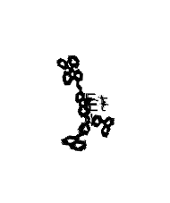 CCC1(CC)c2cc(/C=C/c3cccc4c3-c3ccccc3C4(c3ccccc3)c3ccccc3)ccc2-c2ccc(N(c3ccc(-c4cccc5ccccc45)cc3)c3ccc(-c4cccc5ccccc45)cc3)cc21